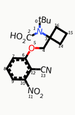 CC(C)(C)N(C(=O)O)C1(COc2cccc([N+](=O)[O-])c2C#N)CCC1